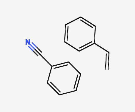 C=Cc1ccccc1.N#Cc1ccccc1